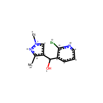 CCn1cc(C(O)c2cccnc2Br)c(C#N)n1